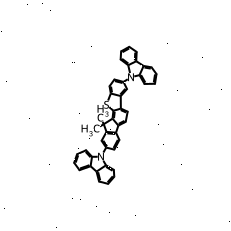 CC1(C)c2cc(-n3c4ccccc4c4ccccc43)ccc2-c2ccc3c(sc4ccc(-n5c6ccccc6c6ccccc65)cc43)c21